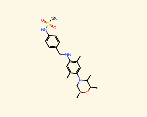 Cc1cc(N2C[C@H](C)O[C@H](C)C2C)c(C)cc1NCc1ccc(NS(=O)(=O)C(C)(C)C)cc1